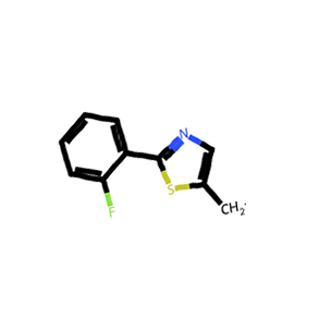 [CH2]c1cnc(-c2ccccc2F)s1